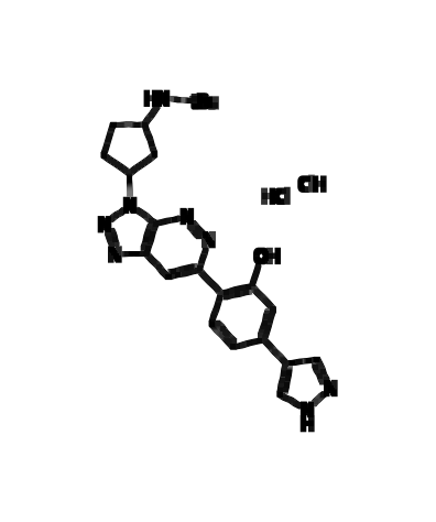 CC(C)(C)NC1CCC(n2nnc3cc(-c4ccc(-c5cn[nH]c5)cc4O)nnc32)C1.Cl.Cl